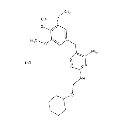 COc1cc(Cc2cnc(NCOC3CCCCC3)nc2N)cc(OC)c1OC.Cl